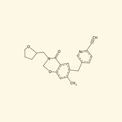 C#Cc1ccc(Cc2cc3c(cc2C)OCN(CC2CCCO2)C3=O)cn1